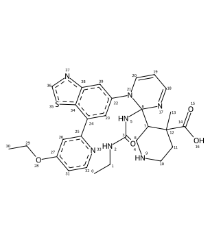 CCNC(=O)NC1(C2CNCCC2(C)C(=O)O)N=CC=CN1c1cc(-c2cc(OCC)ccn2)c2scnc2c1